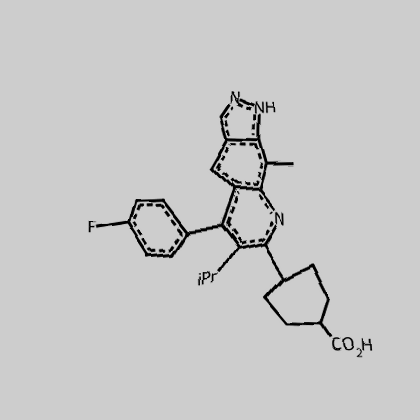 Cc1c2nc(C3CCC(C(=O)O)CC3)c(C(C)C)c(-c3ccc(F)cc3)c2cc2cn[nH]c12